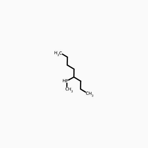 CCCCC(CCC)PC